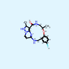 CCC1NN2C=CC3=NC2=C1C(=O)NCC(C)Oc1ccc(F)cc1CN3